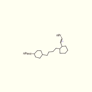 CCC/C=C/C1CCCCC1CCCCC1CCC(CCCCC)CC1